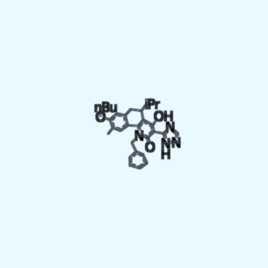 CCCCOc1cc2c(cc1C)-c1c(c(O)c(-c3ncn[nH]3)c(=O)n1Cc1ccccc1)C(C(C)C)C2